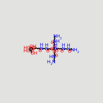 NCCCNC(=O)CCOCC(COCCC(=O)NCCCN)(COCCC(=O)NCCCNC(=O)CCCCO[C@@H]1OC(CO)[C@@H](O)C(O)C1O)NC(=O)CCCC(=O)NCCCNC(=O)CN